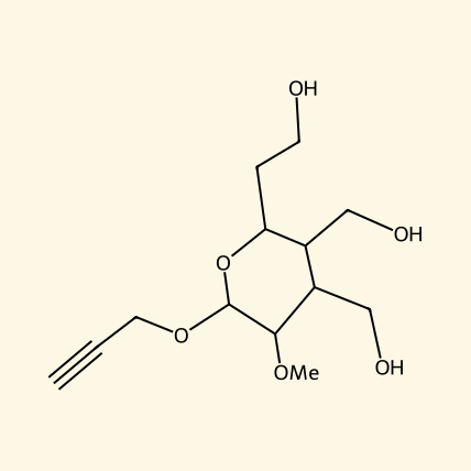 C#CCOC1OC(CCO)C(CO)C(CO)C1OC